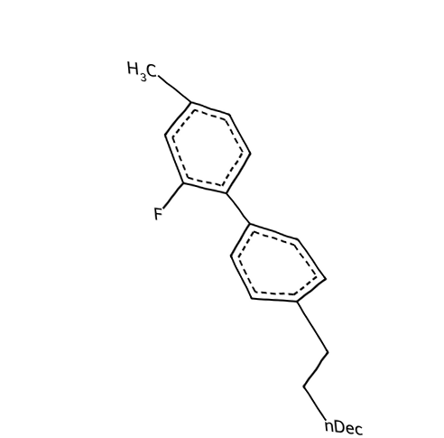 CCCCCCCCCCCCc1ccc(-c2ccc(C)cc2F)cc1